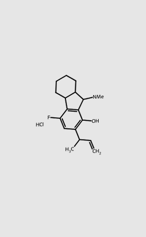 C=CC(C)c1cc(F)c2c(c1O)C(NC)C1CCCCC21.Cl